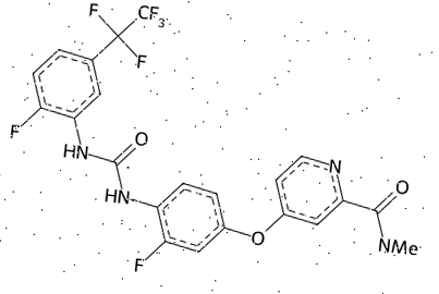 CNC(=O)c1cc(Oc2ccc(NC(=O)Nc3cc(C(F)(F)C(F)(F)F)ccc3F)c(F)c2)ccn1